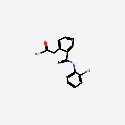 CC(=O)Cc1ccccc1C(=[Se])Nc1ccccc1Cl